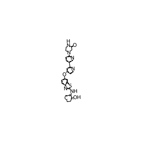 O=C1CN(c2ccc(-c3cc(Oc4ccc5nc(N[C@@H]6CCCC[C@H]6O)sc5c4)ccn3)cn2)CCN1